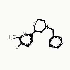 Cc1nc(C2CN(Cc3ccccc3)CCO2)ccc1F